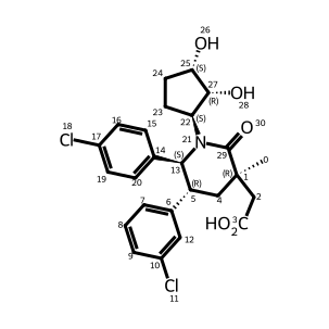 C[C@]1(CC(=O)O)C[C@H](c2cccc(Cl)c2)[C@@H](c2ccc(Cl)cc2)N([C@H]2CC[C@H](O)[C@@H]2O)C1=O